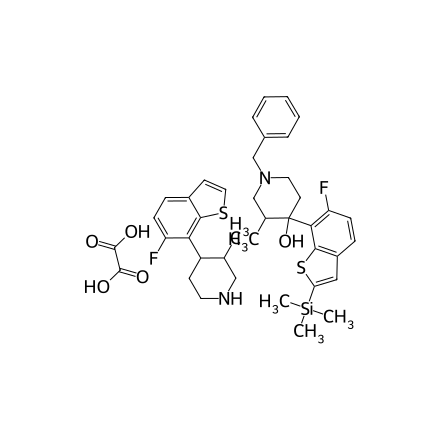 CC1CN(Cc2ccccc2)CCC1(O)c1c(F)ccc2cc([Si](C)(C)C)sc12.CC1CNCCC1c1c(F)ccc2ccsc12.O=C(O)C(=O)O